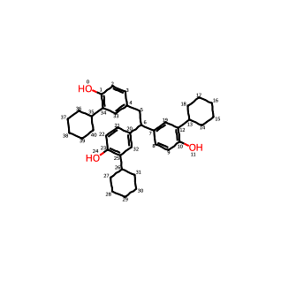 Oc1ccc(CC(c2ccc(O)c(C3CCCCC3)c2)c2ccc(O)c(C3CCCCC3)c2)cc1C1CCCCC1